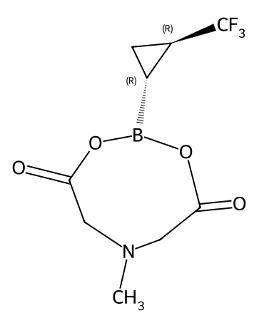 CN1CC(=O)OB([C@@H]2C[C@H]2C(F)(F)F)OC(=O)C1